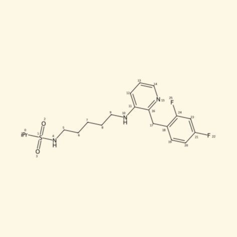 CC(C)S(=O)(=O)NCCCCCNc1cccnc1Cc1ccc(F)cc1F